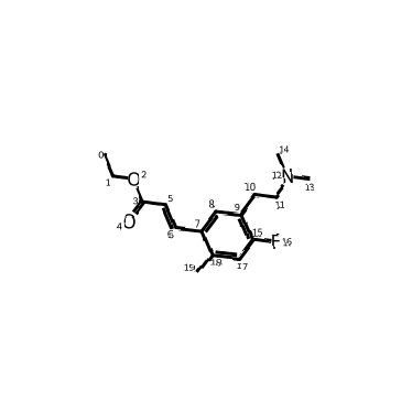 CCOC(=O)/C=C/c1cc(CCN(C)C)c(F)cc1C